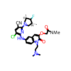 CNC(=O)COc1cc2cc(Nc3nc(N4C[C@@H](C)C(F)[C@@H](C)C4)c(C#N)cc3Cl)ccc2n(CCN(C)C)c1=O